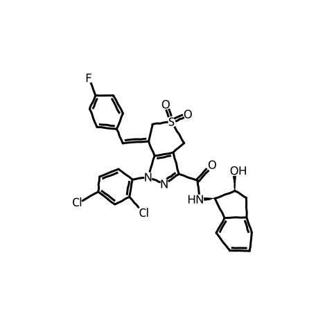 O=C(N[C@@H]1c2ccccc2C[C@@H]1O)c1nn(-c2ccc(Cl)cc2Cl)c2c1CS(=O)(=O)C/C2=C\c1ccc(F)cc1